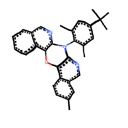 Cc1ccc2c3c(ncc2c1)N(c1c(C)cc(C(C)(C)C)cc1C)c1ncc2ccccc2c1O3